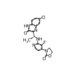 C[C@H](Nc1nccc(N2CCOC2=O)c1F)c1nc2cc(Cl)ccc2[nH]c1=O